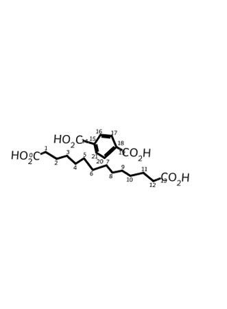 O=C(O)CCCCCCCCCCCCC(=O)O.O=C(O)c1ccc(C(=O)O)cc1